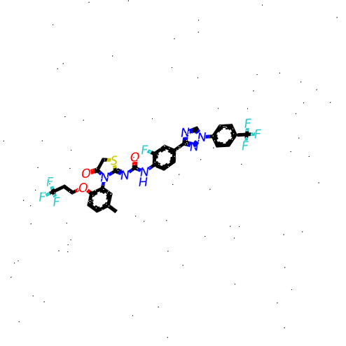 Cc1ccc(OCCC(F)(F)F)c(N2C(=O)CSC2=NC(=O)Nc2ccc(-c3ncn(-c4ccc(C(F)(F)F)cc4)n3)cc2F)c1